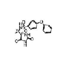 C[C@@H](NS(=O)(=O)c1ccc(Oc2ccccc2)cc1)[C@@H]1NC(=O)NC1=O